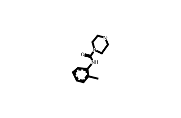 Cc1ccccc1NC(=O)N1CC[N]CC1